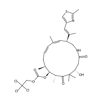 CC1=C[C@@H](C(C)=Cc2csc(C)n2)CNC(=O)C[C@H](O)C(C)(C)C(=O)[C@H](C)[C@@H](OC(=O)OCC(Cl)(Cl)Cl)[C@@H](C)CC=C1